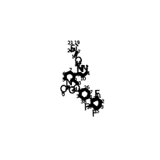 COC(=O)N1CCCC(c2ccnn2COCC[Si](C)(C)C)C1CO[C@H]1CC[C@@H](c2c(F)ccc(F)c2F)CC1